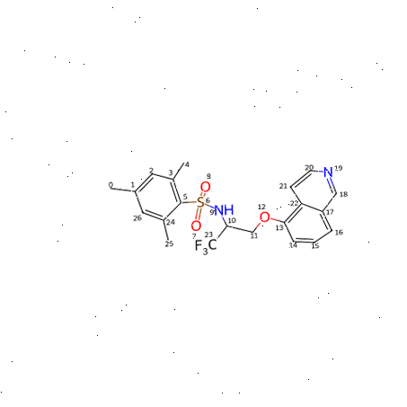 Cc1cc(C)c(S(=O)(=O)NC(COc2cccc3cnccc23)C(F)(F)F)c(C)c1